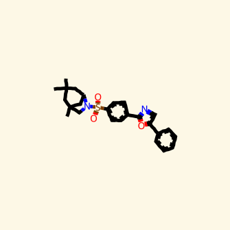 CC1(C)CC2CC(C)(CN2S(=O)(=O)c2ccc(-c3ncc(-c4ccccc4)o3)cc2)C1